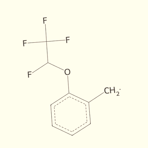 [CH2]c1ccccc1OC(F)C(F)(F)F